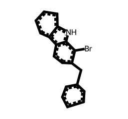 Brc1c(Cc2ccccc2)ccc2c1[nH]c1ccccc12